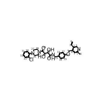 C=Cc1cnc(C)cc1COc1ccc(CNC(=O)[C@H](O)[C@@H](O)C(=O)N2CCN(c3ccccc3Cl)CC2)cc1